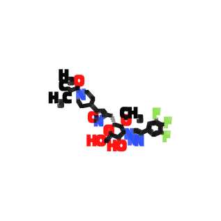 CO[C@@H]1[C@@H](n2cc(-c3cc(F)c(F)c(F)c3)nn2)[C@@H](O)[C@@H](CO)O[C@@H]1Cc1cc(C2CCN(C(=O)C(C)C)CC2)on1